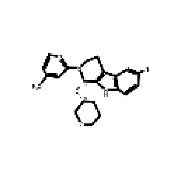 FC(F)(F)c1ccnc(N2CCc3c([nH]c4ccc(Cl)cc34)[C@@H]2C[C@@H]2CCCOC2)c1